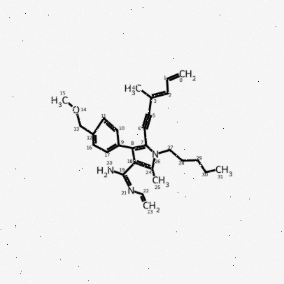 C=C/C=C(\C)C#Cc1c(-c2ccc(COC)cc2)c(/C(N)=N\C=C)c(C)n1CCCCC